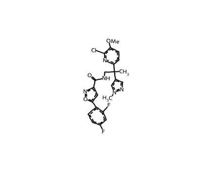 COc1ccc(C(C)(CNC(=O)c2cc(-c3ccc(F)cc3F)on2)c2cnn(C)c2)nc1Cl